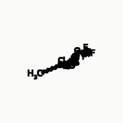 CCCCCCCCCCOc1ccc(F)c(CN2C(=O)CSc3cc(C(=O)NCc4c(F)cc(F)cc4F)ccc32)c1Cl